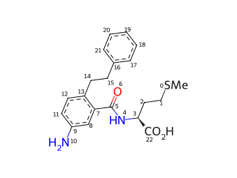 CSCC[C@H](NC(=O)c1cc(N)ccc1CCc1ccccc1)C(=O)O